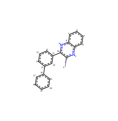 Ic1nc2ccccc2nc1-c1cccc(-c2ccccc2)c1